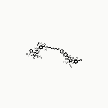 CC[C@@H]1C(=O)N(C)c2cnc(Nc3ccc(C(=O)NCCCCCCCCOC4CCN(c5ncc(C(=O)NC6C(C)(C)C(Oc7ccc(C#N)c(Cl)c7)C6(C)C)cn5)CC4)cc3OC)nc2N1C1CCCC1